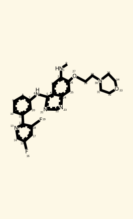 CNc1cc2c(Nc3cccc(-c4ncc(F)cc4F)c3)ncnc2cc1OCCN1CCOCC1